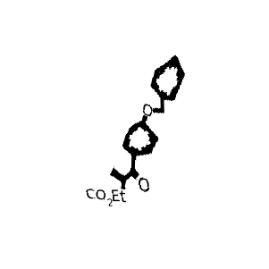 C=C(C(=O)OCC)C(=O)c1ccc(OCc2ccccc2)cc1